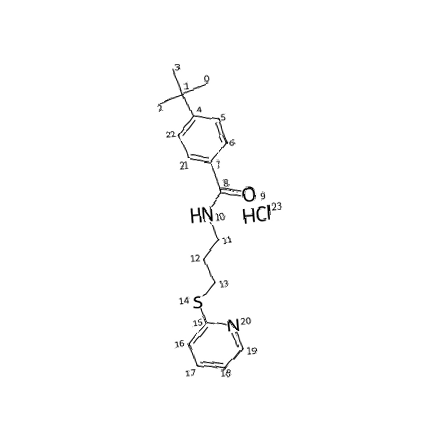 CC(C)(C)c1ccc(C(=O)NCCCSc2ccccn2)cc1.Cl